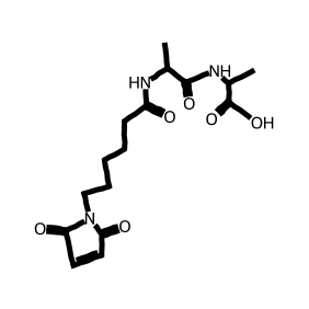 CC(NC(=O)C(C)NC(=O)CCCCCN1C(=O)C=CC1=O)C(=O)O